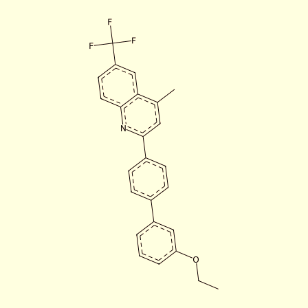 CCOc1cccc(-c2ccc(-c3cc(C)c4cc(C(F)(F)F)ccc4n3)cc2)c1